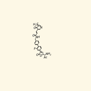 CC(=O)[C@@H](N)C1CN(c2ccc(-c3ccc(CNC(=O)/C=C/c4cncn(C)c4=O)cc3)c(F)c2)C(=O)O1